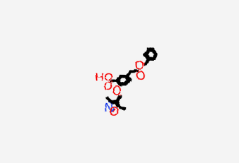 Cc1noc(C)c1COc1ccc(CC(=O)OCc2ccccc2)cc1C(=O)O